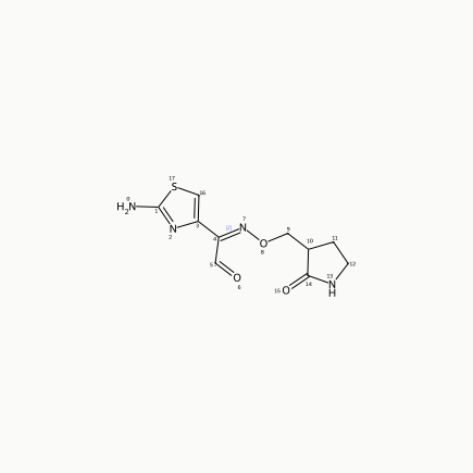 Nc1nc(/C([C]=O)=N/OCC2CCNC2=O)cs1